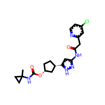 CC1(NC(=O)O[C@@H]2CC[C@H](c3cc(NC(=O)Cc4cc(Cl)ccn4)n[nH]3)C2)CC1